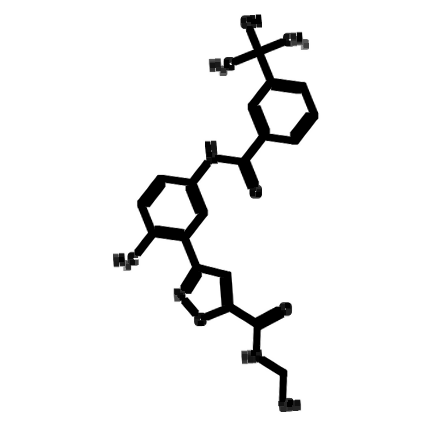 Cc1ccc(NC(=O)c2cccc(C(C)(C)O)c2)cc1-c1cc(C(=O)NCC(C)(C)C)on1